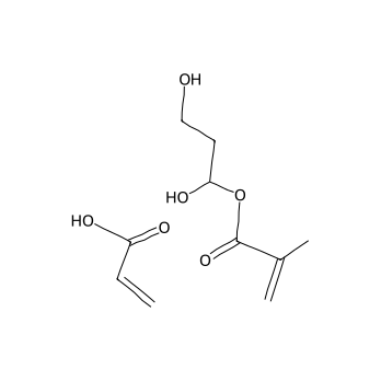 C=C(C)C(=O)OC(O)CCO.C=CC(=O)O